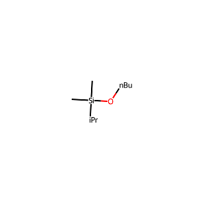 CCCCO[Si](C)(C)C(C)C